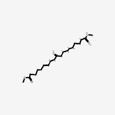 COC(=O)CCCCCCCCC(=O)CCCCCCCCC(=O)OC